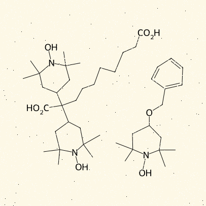 CC1(C)CC(C(CCCCCCCC(=O)O)(C(=O)O)C2CC(C)(C)N(O)C(C)(C)C2)CC(C)(C)N1O.CC1(C)CC(OCc2ccccc2)CC(C)(C)N1O